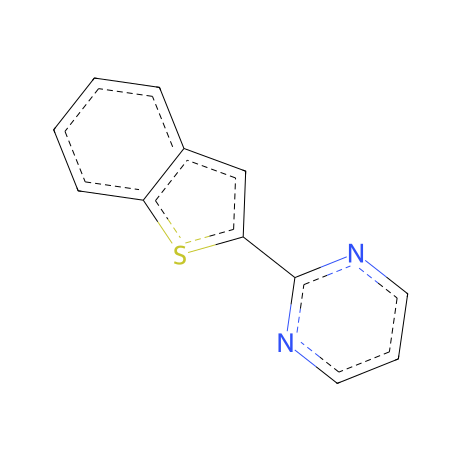 c1cnc(-c2cc3ccccc3s2)nc1